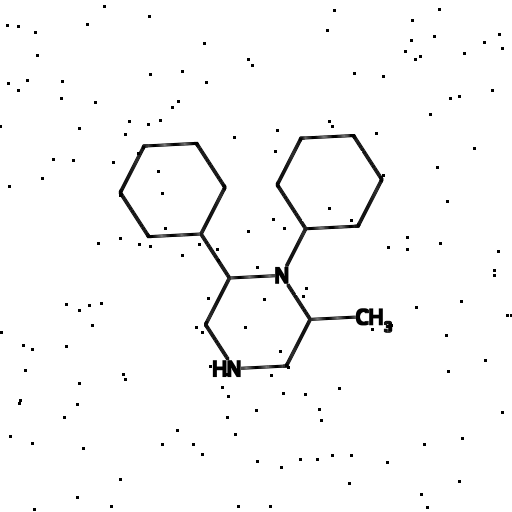 CC1CNCC(C2CCCCC2)N1C1CCCCC1